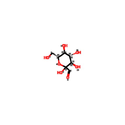 O=CC1(O)O[C@H](CO)[C@@H](O)[C@H](O)[C@H]1O